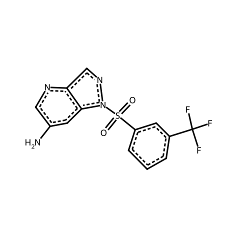 Nc1cnc2cnn(S(=O)(=O)c3cccc(C(F)(F)F)c3)c2c1